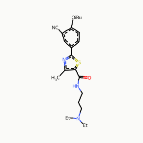 CCN(CC)CCCNC(=O)c1sc(-c2ccc(OCC(C)C)c(C#N)c2)nc1C